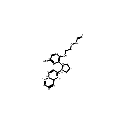 O=CNOCCOc1ncc(F)cc1[C@H]1CCCN1C1=NC2C#CC=NN2C=C1